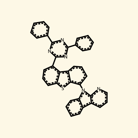 c1ccc(-c2nc(-c3ccccc3)nc(-c3cccc4sc5c(-n6c7ccccc7c7cccnc76)cccc5c34)n2)cc1